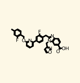 Cc1ccc(COc2cccc(-c3ccc(Cc4nc5ccc(C(=O)O)cc5n4Cc4ccon4)c(F)c3)n2)c(F)c1